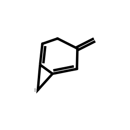 C=C1C=C2[C]C2=CC1